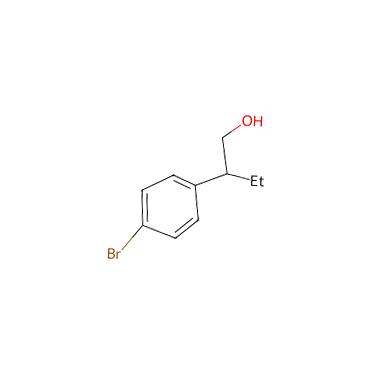 CCC(CO)c1ccc(Br)cc1